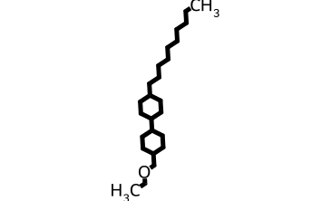 CCCCCCCCCCC1CCC(C2CCC(COCC)CC2)CC1